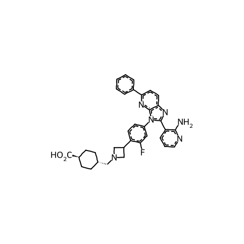 Nc1ncccc1-c1nc2ccc(-c3ccccc3)nc2n1-c1ccc(C2CN(C[C@H]3CC[C@H](C(=O)O)CC3)C2)c(F)c1